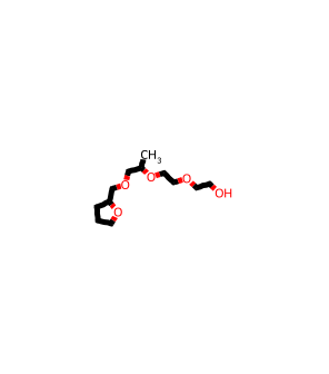 CC(COCC1CCCO1)OCCOCCO